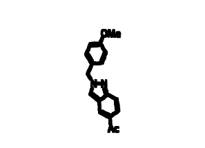 COc1ccc(Cn2cc3cc(C(C)=O)ccc3n2)cc1